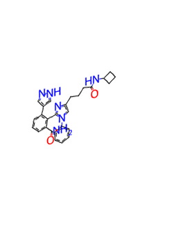 NC(=O)c1cccc(-c2cn[nH]c2)c1-c1nc(CCCC(=O)NC2CCC2)cn1-c1ccccc1